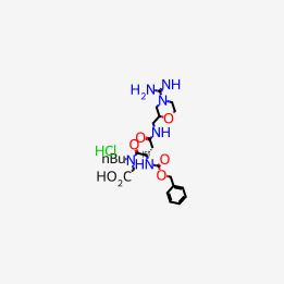 CCCCN(CC(=O)O)C(=O)[C@H](CC(=O)NCC1CN(C(=N)N)CCO1)NC(=O)OCc1ccccc1.Cl